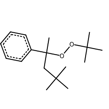 CC(C)(C)CC(C)(OOC(C)(C)C)c1ccccc1